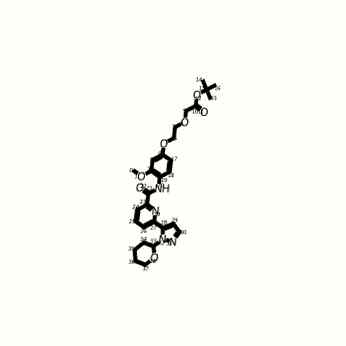 COc1cc(OCCOCC(=O)OC(C)(C)C)ccc1NC(=O)c1cccc(-c2ccnn2C2CCCCO2)n1